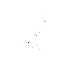 CC(=O)NC1C(NNC(=O)CCCCC(=O)NN)OC(CO)C(O)C1O